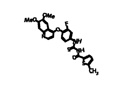 COc1cc2nccc(Oc3ccc(NC(=S)NC(=O)c4ccc(C)s4)cc3F)c2cc1OC